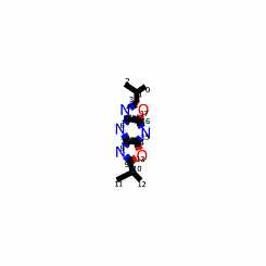 CC(C)c1nc2nc3nc(C(C)C)oc3nc2o1